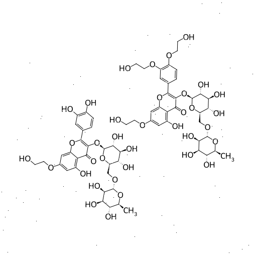 C[C@@H]1O[C@@H](OC[C@H]2O[C@@H](Oc3c(-c4ccc(O)c(O)c4)oc4cc(OCCO)cc(O)c4c3=O)[C@H](O)[C@@H](O)[C@@H]2O)[C@H](O)[C@H](O)[C@H]1O.C[C@@H]1O[C@@H](OC[C@H]2O[C@@H](Oc3c(-c4ccc(OCCO)c(OCCO)c4)oc4cc(OCCO)cc(O)c4c3=O)[C@H](O)[C@@H](O)[C@@H]2O)[C@H](O)[C@H](O)[C@H]1O